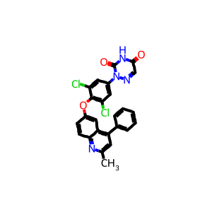 Cc1cc(-c2ccccc2)c2cc(Oc3c(Cl)cc(-n4ncc(=O)[nH]c4=O)cc3Cl)ccc2n1